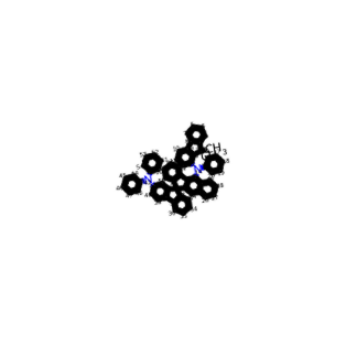 CC1(C)c2ccccc2-c2cccc(N(c3ccccc3)c3c4c(cc5ccccc35)C3(c5ccccc5-c5ccc(N(c6ccccc6)c6ccccc6)cc53)c3ccccc3-4)c21